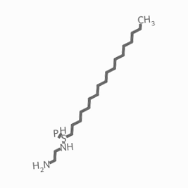 CCCCCCCCCCCCCCCCCC[SH](#P)NCCN